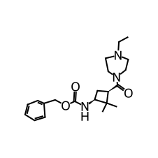 CCN1CCN(C(=O)[C@@H]2C[C@H](NC(=O)OCc3ccccc3)C2(C)C)CC1